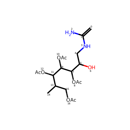 C=C(N)NCC(O)C(OC(C)=O)C(OC(C)=O)C(OC(C)=O)C(C)COC(C)=O